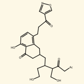 CC(=O)CC(=O)C(CO)C(CCO)CC1CC(=O)c2c(O)ccc(CCC(=O)c3cnoc3)c2C1